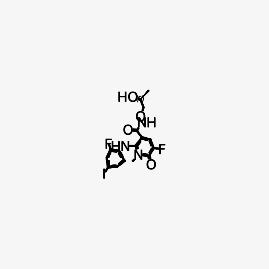 C[C@H](O)CONC(=O)c1cc(F)c(=O)n(C)c1Nc1ccc(I)cc1F